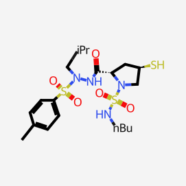 CCCCNS(=O)(=O)N1C[C@H](S)C[C@H]1C(=O)NN(CC(C)C)S(=O)(=O)c1ccc(C)cc1